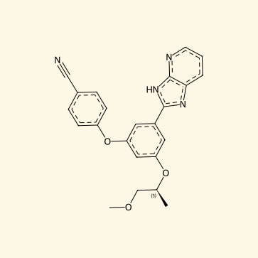 COC[C@H](C)Oc1cc(Oc2ccc(C#N)cc2)cc(-c2nc3cccnc3[nH]2)c1